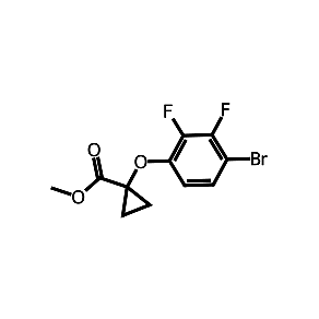 COC(=O)C1(Oc2ccc(Br)c(F)c2F)CC1